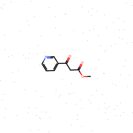 COC(=O)CC(=O)c1c[c]cnc1